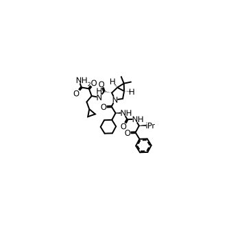 CC(C)[C@H](NC(=O)N[C@H](C(=O)N1C[C@H]2[C@@H]([C@H]1C(=O)NC(CC1CC1)C(=O)C(N)=O)C2(C)C)C1CCCCC1)C(=O)c1ccccc1